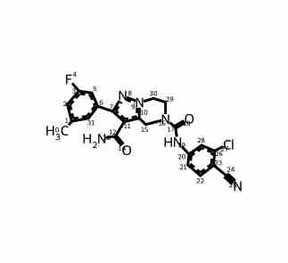 Cc1cc(F)cc(-c2nn3c(c2C(N)=O)CN(C(=O)Nc2ccc(C#N)c(Cl)c2)CC3)c1